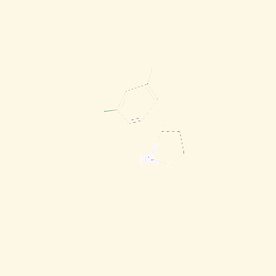 Fc1cc(I)cc([C@@H]2CCON2)c1